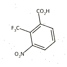 O=C(O)c1cccc([N+](=O)[O-])c1C(F)(F)F